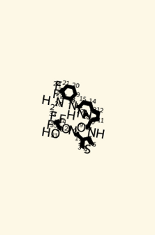 N#Cc1cscc1NC(=O)c1ccc2ccc(N[C@@H]3CCCC(F)(F)[C@@H]3N)nn12.O=C(O)C(F)(F)F